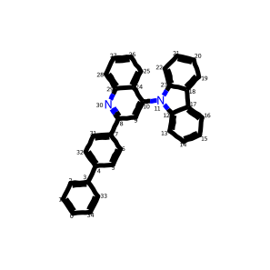 c1ccc(-c2ccc(-c3cc(-n4c5ccccc5c5ccccc54)c4ccccc4n3)cc2)cc1